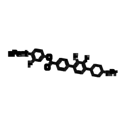 CCCCCc1ccc(OC(=O)c2ccc(-c3ccc(C4CCC(CCC)CC4)c(F)c3F)cc2)cc1F